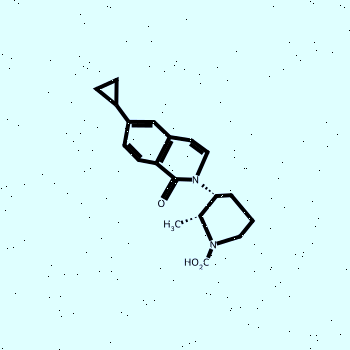 C[C@@H]1[C@H](n2ccc3cc(C4CC4)ccc3c2=O)CCCN1C(=O)O